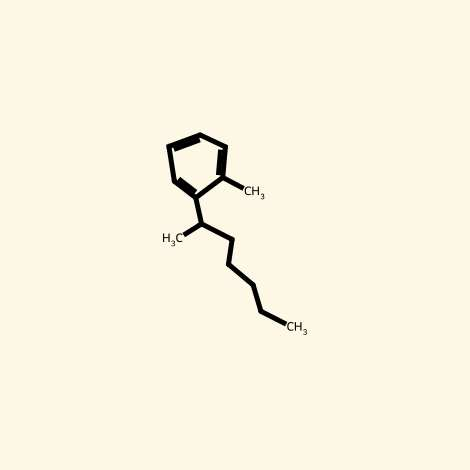 CCCCC[C](C)c1ccccc1C